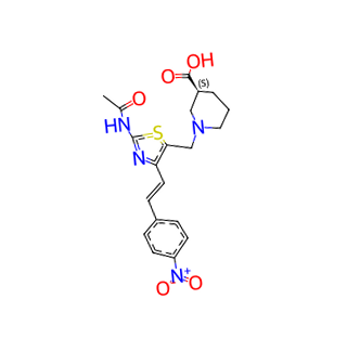 CC(=O)Nc1nc(C=Cc2ccc([N+](=O)[O-])cc2)c(CN2CCC[C@H](C(=O)O)C2)s1